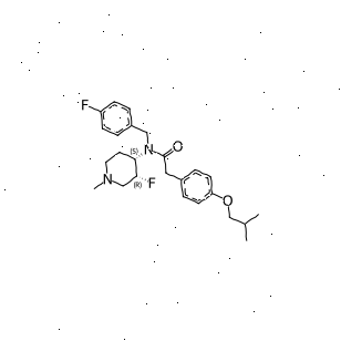 CC(C)COc1ccc(CC(=O)N(Cc2ccc(F)cc2)[C@H]2CCN(C)C[C@H]2F)cc1